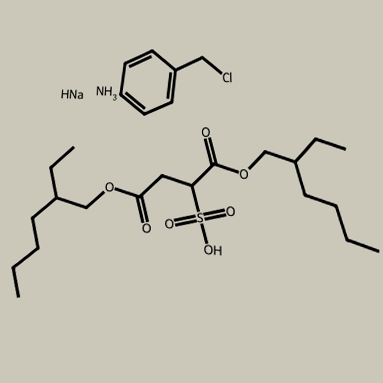 CCCCC(CC)COC(=O)CC(C(=O)OCC(CC)CCCC)S(=O)(=O)O.ClCc1ccccc1.N.[NaH]